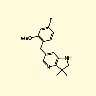 COc1cc(F)ccc1Cc1cnc2c(c1)NCC2(C)C